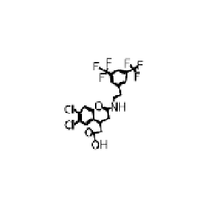 O=C(O)CC(CC(=O)NCCc1cc(C(F)(F)F)cc(C(F)(F)F)c1)c1ccc(Cl)c(Cl)c1